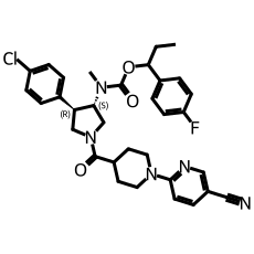 CCC(OC(=O)N(C)[C@@H]1CN(C(=O)C2CCN(c3ccc(C#N)cn3)CC2)C[C@H]1c1ccc(Cl)cc1)c1ccc(F)cc1